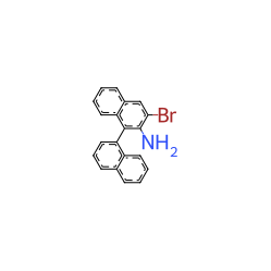 Nc1c(Br)cc2ccccc2c1-c1cccc2ccccc12